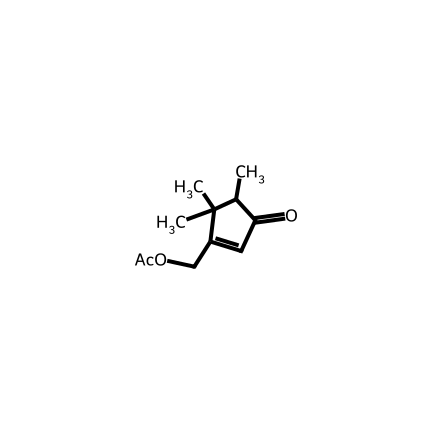 CC(=O)OCC1=CC(=O)C(C)C1(C)C